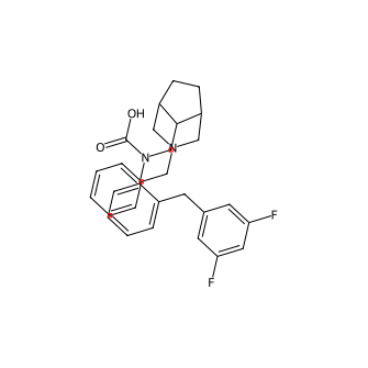 O=C(O)N(CC1C2CCC1CN(Cc1ccccc1)C2)c1ccccc1Cc1cc(F)cc(F)c1